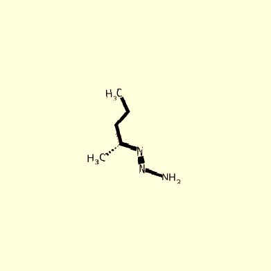 CCC[C@@H](C)N=NN